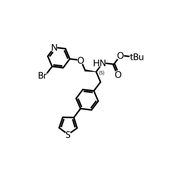 CC(C)(C)OC(=O)N[C@H](COc1cncc(Br)c1)Cc1ccc(-c2ccsc2)cc1